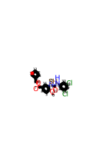 COc1ccc(C(=O)OCc2ccccc2)cc1N(S)C(=O)Nc1cc(Cl)cc(Cl)c1